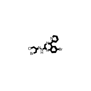 ClCC(CBr)=NNC1=Nc2ccc(Br)cc2C(c2ccccn2)=NC1